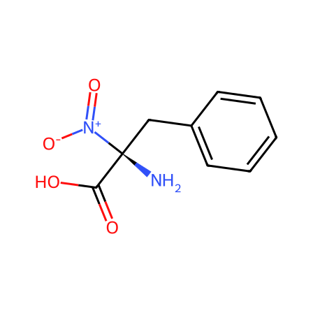 N[C@@](Cc1ccccc1)(C(=O)O)[N+](=O)[O-]